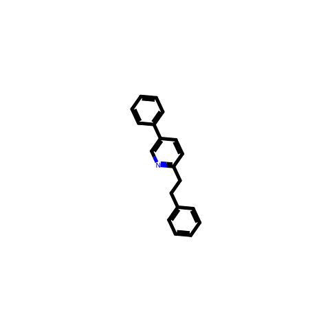 c1ccc(CCc2ccc(-c3ccccc3)cn2)cc1